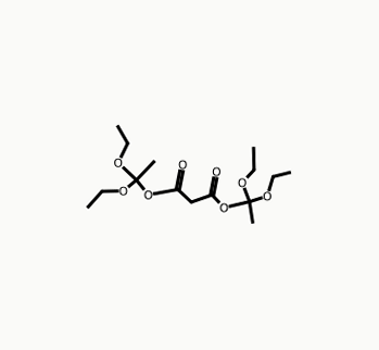 CCOC(C)(OCC)OC(=O)CC(=O)OC(C)(OCC)OCC